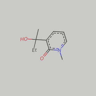 CCC(C)(O)c1cccn(C)c1=O